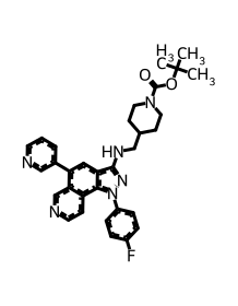 CC(C)(C)OC(=O)N1CCC(CNc2nn(-c3ccc(F)cc3)c3c2cc(-c2cccnc2)c2cnccc23)CC1